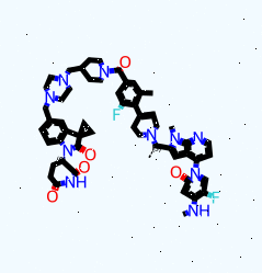 CNc1cc(=O)n(-c2ccnc3c2cc([C@H](C)N2CC=C(c4c(C)cc(C(=O)N5CCC(CN6CCN(Cc7ccc8c(c7)C7(CC7)C(=O)N8[C@H]7CCC(=O)NC7=O)CC6)CC5)cc4F)CC2)n3C)cc1F